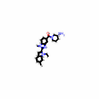 CCn1c(-c2nc3cc(C(=O)N4CCC[C@@H](N)C4)ccc3n2C)cc2ccc(C)cc21